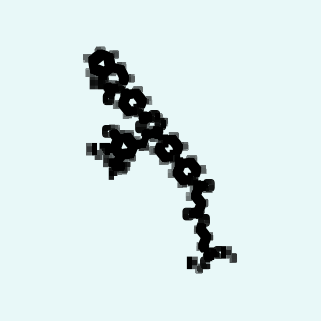 CN(C)CCCOC(=O)CCC(=O)N1CCC(N2CCN(C(=O)[C@@H](Cc3cc(Cl)c(N)c(C(F)(F)F)c3)OC(=O)N3CCC(N4CCc5ccccc5NC4=O)CC3)CC2)CC1